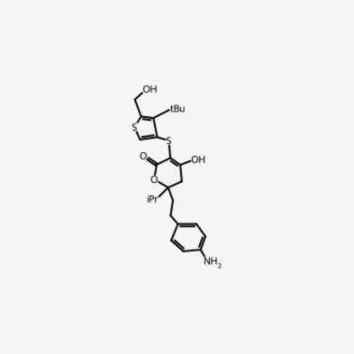 CC(C)C1(CCc2ccc(N)cc2)CC(O)=C(Sc2csc(CO)c2C(C)(C)C)C(=O)O1